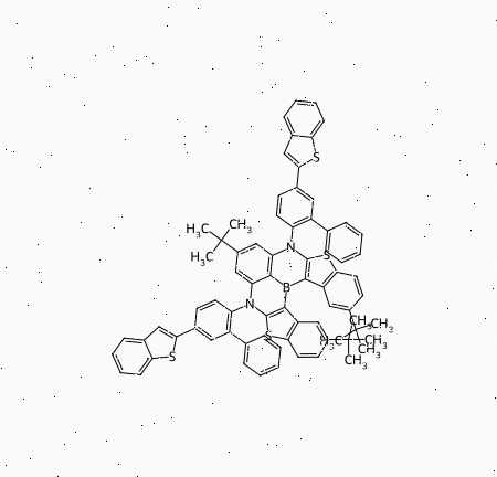 CC(C)(C)c1cc2c3c(c1)N(c1ccc(-c4cc5ccccc5s4)cc1-c1ccccc1)c1sc4ccc(C(C)(C)C)cc4c1B3c1c(sc3ccc(C(C)(C)C)cc13)N2c1ccc(-c2cc3ccccc3s2)cc1-c1ccccc1